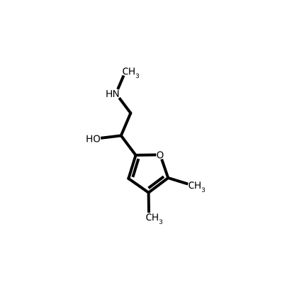 CNCC(O)c1cc(C)c(C)o1